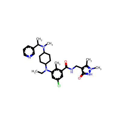 CCN(c1cc(Cl)cc(C(=O)NCc2c(C)n(C)[nH]c2=O)c1C)C1CCC(N(C)C(C)c2cccnc2)CC1